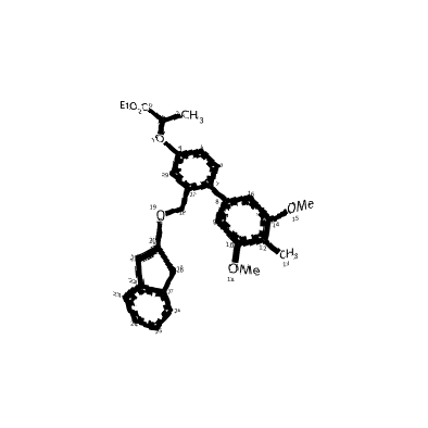 CCOC(=O)C(C)Oc1ccc(-c2cc(OC)c(C)c(OC)c2)c(COC2Cc3ccccc3C2)c1